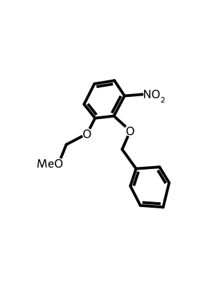 COCOc1cccc([N+](=O)[O-])c1OCc1ccccc1